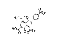 CC1COc2c(-c3ccc([N+](=O)[O-])cc3)cc([N+](=O)[O-])c3c(=O)c(C(=O)O)cn1c23